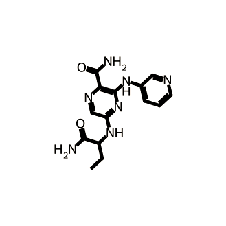 CCC(Nc1cnc(C(N)=O)c(Nc2cccnc2)n1)C(N)=O